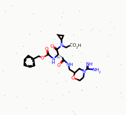 N=C(N)N1CCOC(CNC(=O)C[C@H](NC(=O)OCc2ccccc2)C(=O)N(CC(=O)O)C2CC2)C1